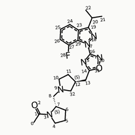 CC(=O)N1CCC[C@H]1CN1CC[C@@H](Cc2nc(-n3nc(C(C)C)c4cccc(F)c43)no2)C1